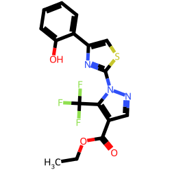 CCOC(=O)c1cnn(-c2nc(-c3ccccc3O)cs2)c1C(F)(F)F